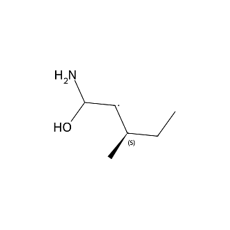 CC[C@@H](C)[CH]C(N)O